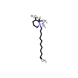 C=CCCCCCCCCC[N+]1(C)CCCC(C)C1(C)C